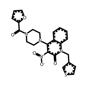 O=C(c1ccco1)N1CCN(c2c([N+](=O)[O-])c(=O)n(Cc3ccsc3)c3ccccc23)CC1